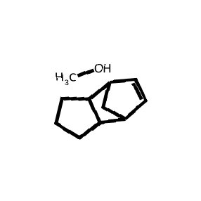 C1=CC2CC1C1CCCC21.CO